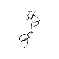 COc1cccc(COc2ccc3oc(C)c(C(=O)O)c3c2)n1